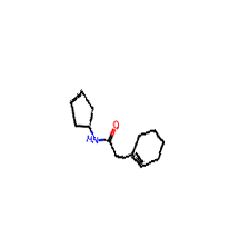 O=C(CC1=CCCCC1)NC1CCCC1